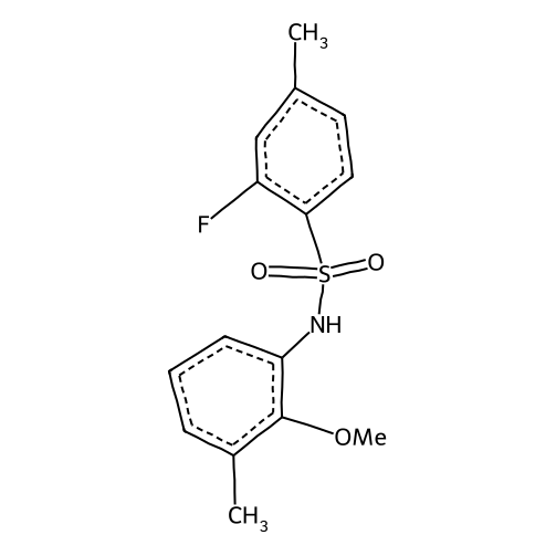 COc1c(C)cccc1NS(=O)(=O)c1ccc(C)cc1F